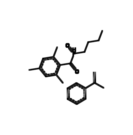 C=C(C)c1ccccc1.CCCC[PH](=O)C(=O)c1c(C)cc(C)cc1C